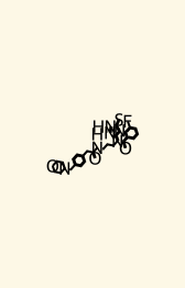 O=C(Cc1ccc(CN2CCOCC2)cc1)NCCCn1c(=O)c2cccc(F)c2n2c(=S)[nH]nc12